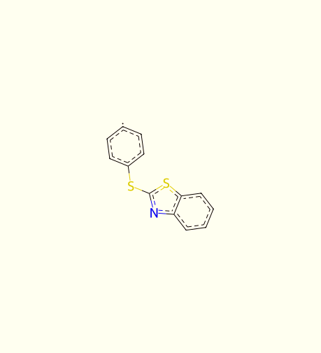 [c]1ccc(Sc2nc3ccccc3s2)cc1